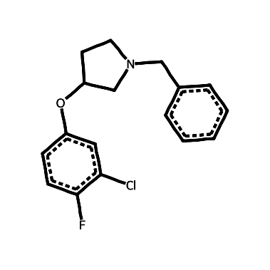 Fc1ccc(OC2CCN(Cc3ccccc3)C2)cc1Cl